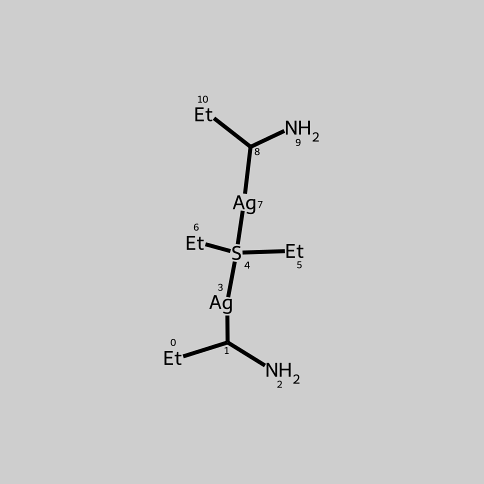 CC[CH](N)[Ag][S](CC)(CC)[Ag][CH](N)CC